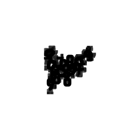 CCOC(=O)CN1C(=CC2=C(O)C(=CC3=[N+](CC(=O)OCC)c4ccc(-c5cccs5)cc4C3(C)C)C2=O)C(C)(C)c2cc(-c3cccs3)ccc21